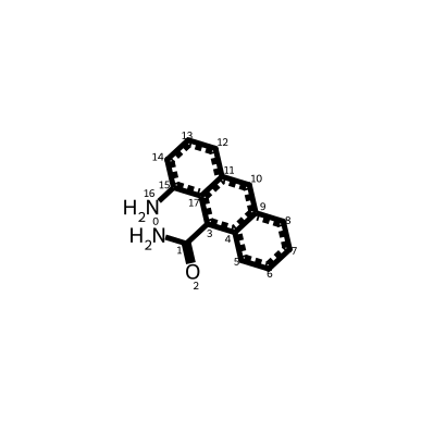 NC(=O)c1c2ccccc2cc2cccc(N)c12